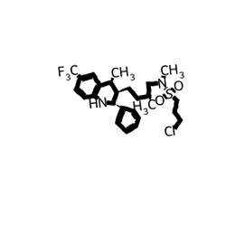 C[C@H](CC[C@@H]1[C@H](C)c2cc(C(F)(F)F)ccc2N[C@H]1c1ccccc1)CN(C)S(=O)(=O)CCCCl